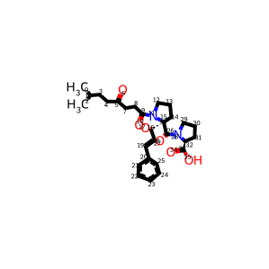 CC(C)CCC(=O)CCC(=O)N1CCC[C@@]1(C(=O)/C=C/c1ccccc1)C(=O)N1CCC[C@H]1C(=O)O